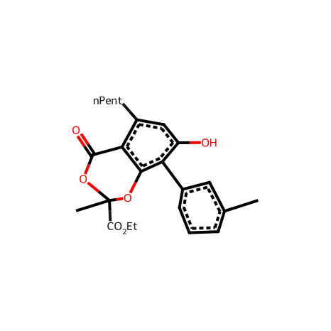 CCCCCc1cc(O)c(-c2cccc(C)c2)c2c1C(=O)OC(C)(C(=O)OCC)O2